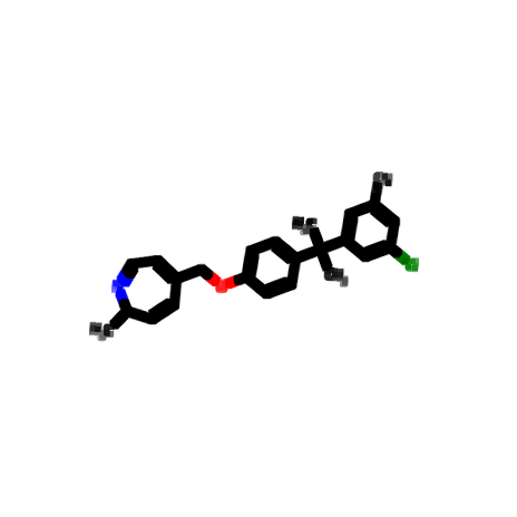 CC1C=CC(COc2ccc(C(C)(C)c3cc(Cl)cc(C#N)c3)cc2)=CC=N1